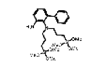 CO[Si](CCCN(CCC[Si](OC)(OC)OC)c1c(N)cccc1-c1ccccc1)(OC)OC